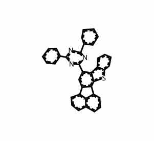 c1ccc(-c2nc(-c3ccccc3)nc(-c3cc4c(c5sc6ccccc6c35)-c3cccc5cccc-4c35)n2)cc1